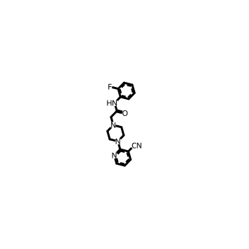 N#Cc1cccnc1N1CCN(CC(=O)Nc2ccccc2F)CC1